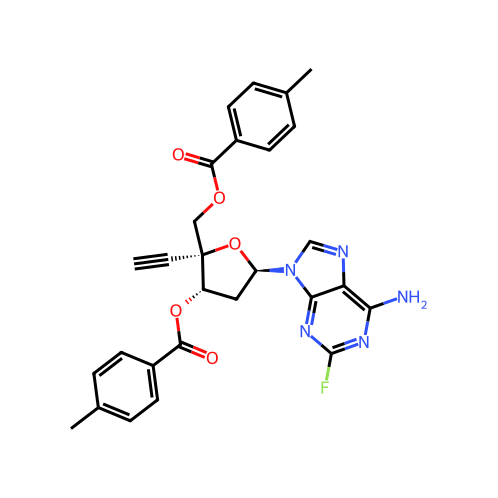 C#C[C@]1(COC(=O)c2ccc(C)cc2)O[C@@H](n2cnc3c(N)nc(F)nc32)C[C@@H]1OC(=O)c1ccc(C)cc1